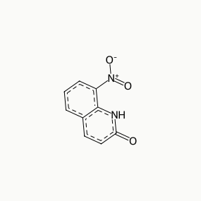 O=c1ccc2cccc([N+](=O)[O-])c2[nH]1